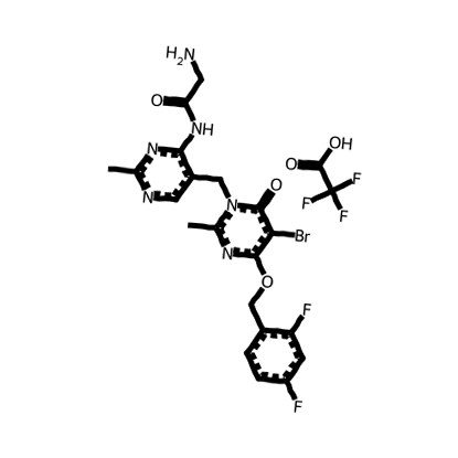 Cc1ncc(Cn2c(C)nc(OCc3ccc(F)cc3F)c(Br)c2=O)c(NC(=O)CN)n1.O=C(O)C(F)(F)F